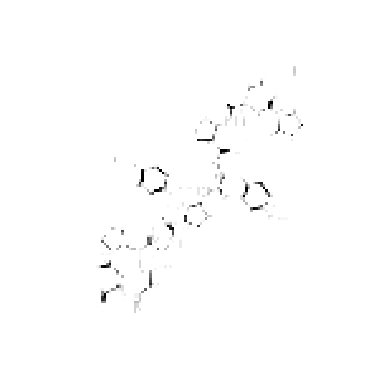 COc1ccc(S(=O)(=O)N2C(NC(=O)[C@@H](Cc3ccc(O)cc3)NC(=O)C3CNCC3NC(=O)[C@@H](CCC(=O)O)NC(=O)C3CCCC3NC(C)=O)CCC2C(=O)N[C@H](CCCCN)C(=O)NC2CNCC2C(=O)N[C@H](C)C(N)=O)cc1